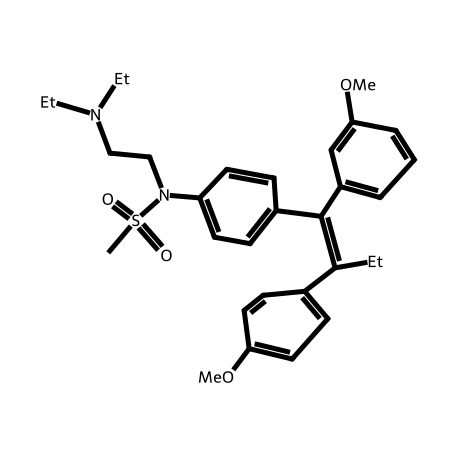 CCC(=C(c1ccc(N(CCN(CC)CC)S(C)(=O)=O)cc1)c1cccc(OC)c1)c1ccc(OC)cc1